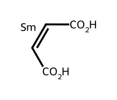 O=C(O)/C=C\C(=O)O.[Sm]